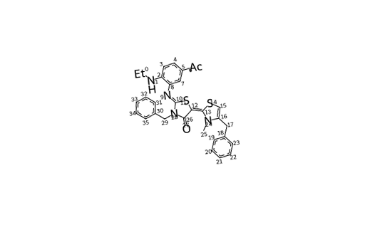 CCNc1ccc(C(C)=O)cc1N=C1SC(=C2SC=C(Cc3ccccc3)N2C)C(=O)N1Cc1ccccc1